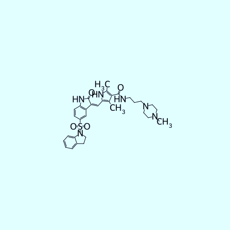 Cc1[nH]c(/C=C2\C(=O)Nc3ccc(S(=O)(=O)N4CCc5ccccc54)cc32)c(C)c1C(=O)NCCCN1CCN(C)CC1